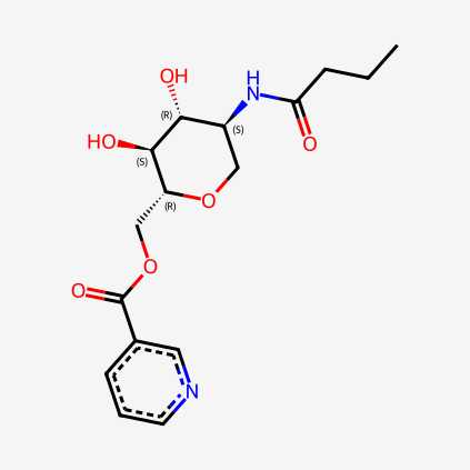 CCCC(=O)N[C@H]1CO[C@H](COC(=O)c2cccnc2)[C@@H](O)[C@@H]1O